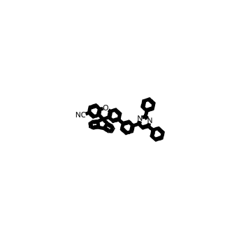 N#Cc1ccc2c(c1)C1(c3cc(-c4cccc(-c5cc(-c6ccccc6)nc(-c6ccccc6)n5)c4)ccc3O2)c2ccccc2-c2ccccc21